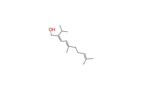 CC(C)=CCC/C(C)=C/C=C(/CO)C(C)C